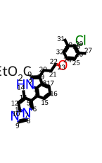 CCOC(=O)c1[nH]c2c(-c3cn4ccnc4cc3C)cccc2c1CCCOc1cc(C)c(Cl)c(C)c1